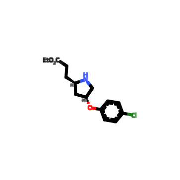 CCOC(=O)CC[C@@H]1C[C@@H](Oc2ccc(Cl)cc2)CN1